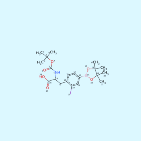 CC(C)(C)OC(=O)NC(Cc1ccc(B2OC(C)(C)C(C)(C)O2)cc1I)C(=O)O